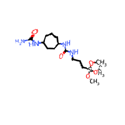 CO[Si](CCCNC(=O)NC1CCCC(NC(N)=O)CC1)(OC)OC